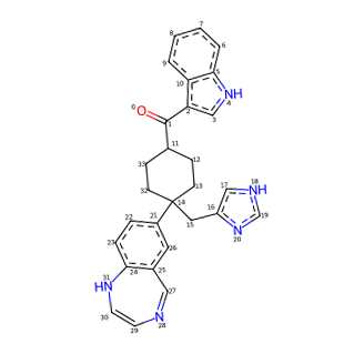 O=C(c1c[nH]c2ccccc12)C1CCC(Cc2c[nH]cn2)(c2ccc3c(c2)C=NC=CN3)CC1